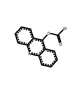 CCC(=O)Oc1c2ccccc2nc2ccccc12